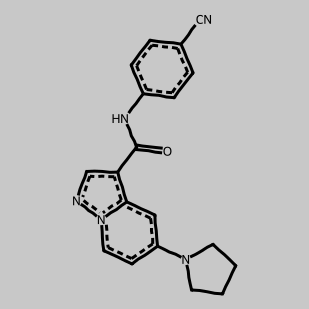 N#Cc1ccc(NC(=O)c2cnn3ccc(N4CCCC4)cc23)cc1